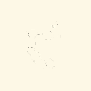 C[C@@H]1CCN(c2ccncc2Nc2ncc3ccc(-c4c(F)cccc4F)nn23)C[C@@H]1NC(=O)O